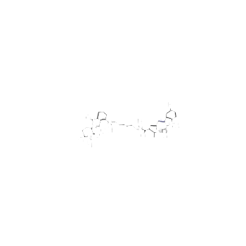 Cc1[nH]c(/C=C2/c3cc(F)ccc3NC2O)c(C)c1C(=O)NCCCCCCNc1cccc2c1C(=O)N(C1CCC(=O)NC1=O)C2=O